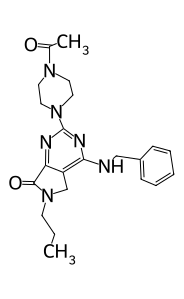 CCCN1Cc2c(NCc3ccccc3)nc(N3CCN(C(C)=O)CC3)nc2C1=O